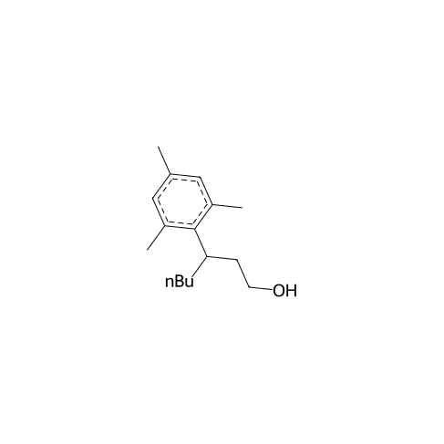 CCCCC(CCO)c1c(C)cc(C)cc1C